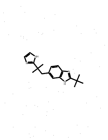 CC(C)(C)c1nc2ccc(CC(C)(C)c3ncc[nH]3)cc2[nH]1